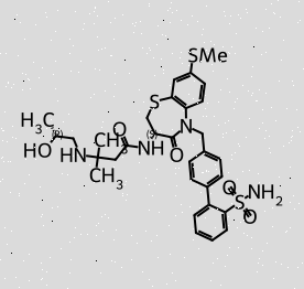 CSc1ccc2c(c1)SC[C@@H](NC(=O)CC(C)(C)NC[C@@H](C)O)C(=O)N2Cc1ccc(-c2ccccc2S(N)(=O)=O)cc1